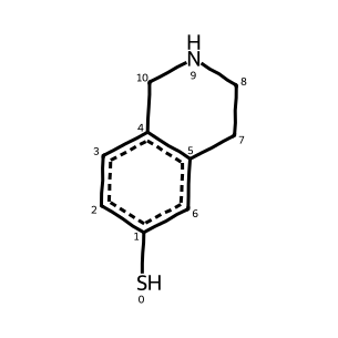 Sc1ccc2c(c1)CCNC2